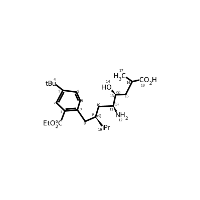 CCOC(=O)c1cc(C(C)(C)C)ccc1C[C@@H](C[C@H](N)[C@@H](O)CC(C)C(=O)O)C(C)C